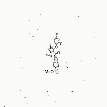 COC(=O)c1ccc(C(C)NC(=O)c2c(C(F)F)nn(C)c2Oc2ccc(F)cc2F)cc1